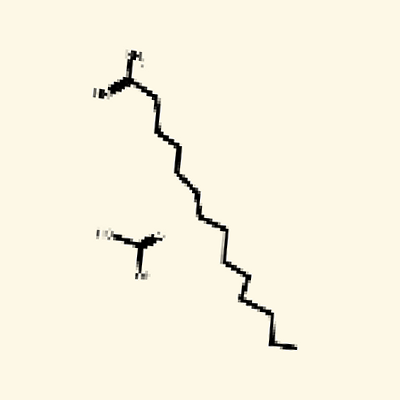 CCCCCCCCCCCCCC(=N)N.O=C(O)O